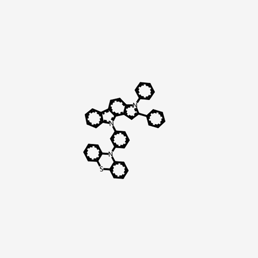 c1ccc(-c2cc3c(ccc4c5ccccc5n(-c5cccc(N6c7ccccc7Sc7ccccc76)c5)c43)n2-c2ccccc2)cc1